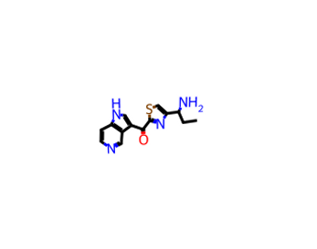 CCC(N)c1csc(C(=O)c2c[nH]c3ccncc23)n1